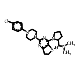 CN(C)CC1CCCN1c1nc(N2CCN(c3ccc(Cl)cc3)CC2)nc2c1[S+]([O-])CC2